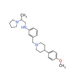 COc1ccc(C2CCN(Cc3cccc(NCC(C)N4CCCC4)c3)CC2)cc1